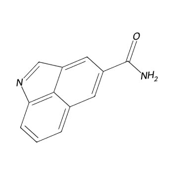 NC(=O)c1cc2c3c(cccc3c1)N=C2